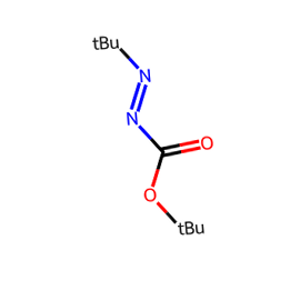 CC(C)(C)/N=N/C(=O)OC(C)(C)C